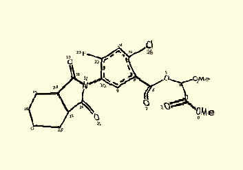 COC(=O)C(OC)OC(=O)c1cc(N2C(=O)C3CCCCC3C2=O)c(F)cc1Cl